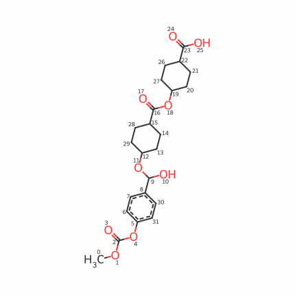 COC(=O)Oc1ccc(C(O)OC2CCC(C(=O)OC3CCC(C(=O)O)CC3)CC2)cc1